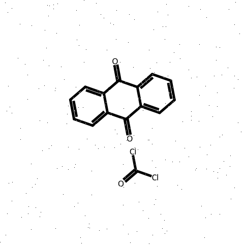 O=C(Cl)Cl.O=C1c2ccccc2C(=O)c2ccccc21